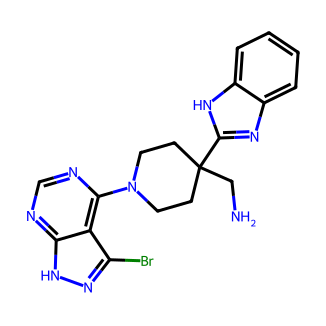 NCC1(c2nc3ccccc3[nH]2)CCN(c2ncnc3[nH]nc(Br)c23)CC1